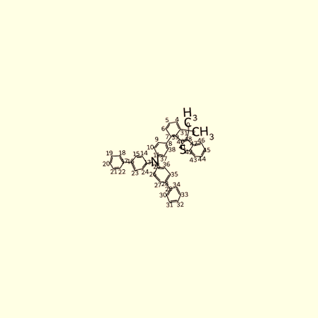 CC1(C)c2cccc(-c3ccc(N(c4ccc(-c5ccccc5)cc4)c4ccc(-c5ccccc5)cc4)cc3)c2-c2sc3ccccc3c21